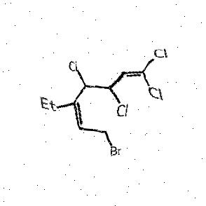 CCC(=CCBr)C(Cl)C(Cl)C=C(Cl)Cl